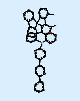 Cc1cccc2c1-c1c(C)ccc(-c3ccccc3N(c3ccccc3)c3ccc(-c4ccc(-c5ccccc5)cc4)cc3)c1C21c2ccccc2-c2ccccc21